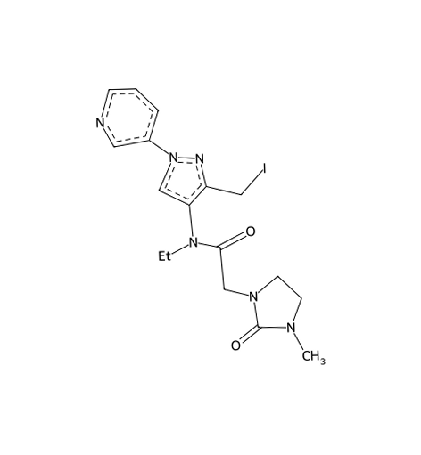 CCN(C(=O)CN1CCN(C)C1=O)c1cn(-c2cccnc2)nc1CI